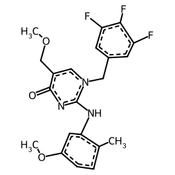 COCc1cn(Cc2cc(F)c(F)c(F)c2)c(Nc2cc(OC)ccc2C)nc1=O